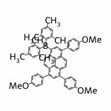 COc1ccc(-c2cc(B(c3c(C)cc(C)cc3C)c3c(C)cc(C)cc3C)c3ccc4c(-c5ccc(OC)cc5)cc(-c5ccc(OC)cc5)c5ccc2c3c45)cc1